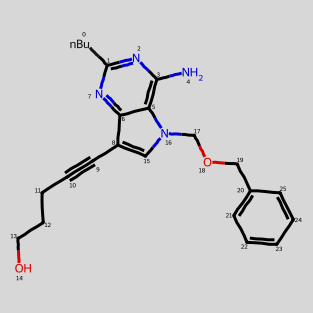 CCCCc1nc(N)c2c(n1)c(C#CCCCO)cn2COCc1ccccc1